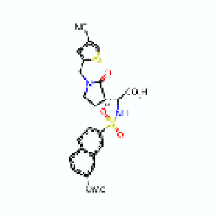 COc1ccc2ccc(S(=O)(=O)NC(C(=O)O)[C@@H]3CCN(Cc4cc(C#N)cs4)C3=O)cc2c1